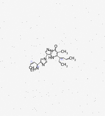 C=C/C=C(\C=C)c1[nH]c2c(-n3cnc(C(/C=C\C)=N/CC)c3)cnn2c(=O)c1C